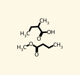 CCC(C)C(=O)O.CCCC(=O)OC